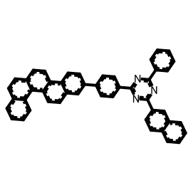 c1ccc(-c2nc(-c3ccc(-c4ccc5c(ccc6c5ccc5ccc7ccccc7c56)c4)cc3)nc(-c3ccc4ccccc4c3)n2)cc1